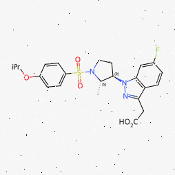 CC(C)Oc1ccc(S(=O)(=O)N2CC[C@@H](n3nc(CC(=O)O)c4ccc(F)cc43)[C@@H]2C)cc1